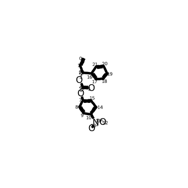 C=C[C@@H](OC(=O)Oc1ccc([N+](=O)[O-])cc1)c1ccccc1